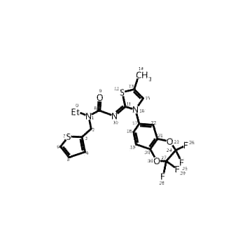 CCN(Cc1cccs1)C(=O)N=c1sc(C)cn1-c1ccc2c(c1)OC(F)(F)C(F)(F)O2